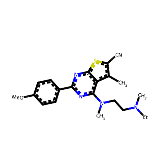 CCN(C)CCN(C)c1nc(-c2ccc(OC)cc2)nc2sc(C#N)c(C)c12